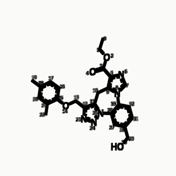 CCOC(=O)c1ncn2c1Cc1c(COc3ccc(C)cc3C)nnn1-c1cc(CO)ccc1-2